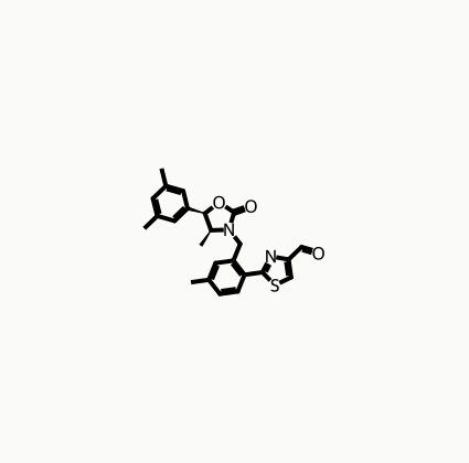 Cc1cc(C)cc([C@H]2OC(=O)N(Cc3cc(C)ccc3-c3nc(C=O)cs3)[C@H]2C)c1